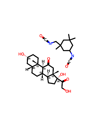 CC1(C)CC(N=C=O)CC(C)(CN=C=O)C1.C[C@]12CC[C@@H](O)C[C@H]1CC[C@@H]1[C@@H]2C(=O)C[C@@]2(C)[C@H]1CC[C@]2(O)C(=O)CO